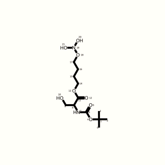 CC(C)(C)OC(=O)NC(CO)C(=O)OCCCCON(O)O